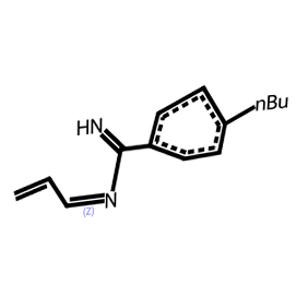 C=C/C=N\C(=N)c1ccc(CCCC)cc1